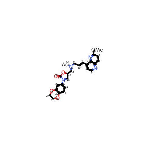 COc1ccc2nccc(C=CCN(CC3CN(c4ccc5c(c4)OCCO5)C(=O)O3)C(C)=O)c2n1